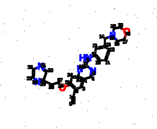 C#Cc1cc2cnc(Nc3cccc(CN4CCOCC4)c3)nc2cc1OCCc1cnccn1